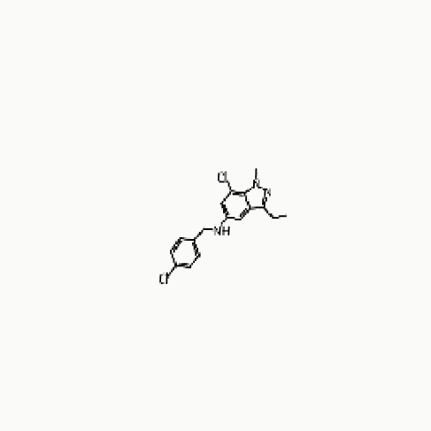 CCc1nn(C)c2c(Cl)cc(NCc3ccc(Cl)cc3)cc12